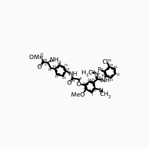 C=Nc1cc(OC)c(OCC(=O)Nc2ccc(C[C@H](N)C(=O)OC)cc2)cc1/C(=N\C)Nc1cccc(Cl)c1F